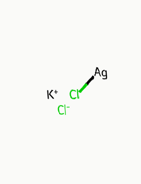 [Cl-].[Cl][Ag].[K+]